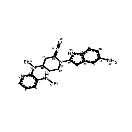 CCN(c1ncccc1NC(C)C)C1CCN(c2cc3cc(N)ccc3[nH]2)C(=C=O)C1